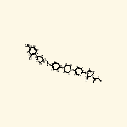 CCC(C)n1ncn(-c2ccc(N3CCN(c4ccc(OC[C@@H]5CO[C@@H](c6ccc(Cl)cc6Cl)O5)cc4)CC3)cn2)c1=O